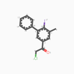 Cc1cc(C(=O)CCl)cc(-c2ccccc2)c1I